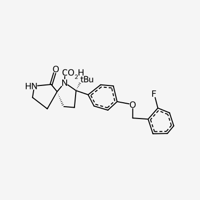 CC(C)(C)[C@]1(c2ccc(OCc3ccccc3F)cc2)CC[C@@]2(CCNC2=O)N1C(=O)O